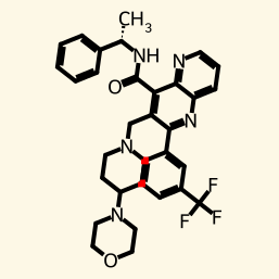 C[C@H](NC(=O)c1c(CN2CCC(N3CCOCC3)CC2)c(-c2cccc(C(F)(F)F)c2)nc2cccnc12)c1ccccc1